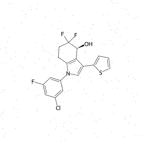 O[C@H]1c2c(-c3cccs3)cn(-c3cc(F)cc(Cl)c3)c2CCC1(F)F